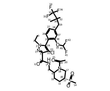 CCn1nc(C(=O)NCC2CC[C@@H](S(C)(=O)=O)CN2C(C)=O)c(Cl)c1-c1ccc(CC(C)(C)C(F)(F)F)cc1OC(F)F